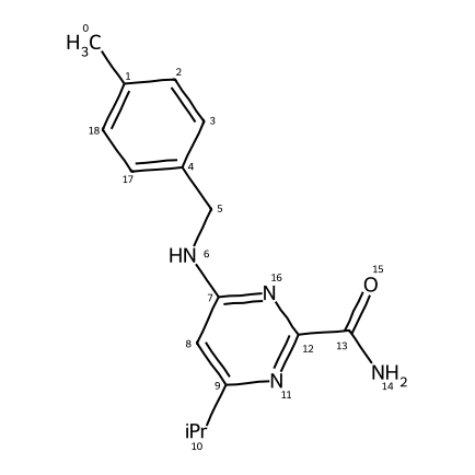 Cc1ccc(CNc2cc(C(C)C)nc(C(N)=O)n2)cc1